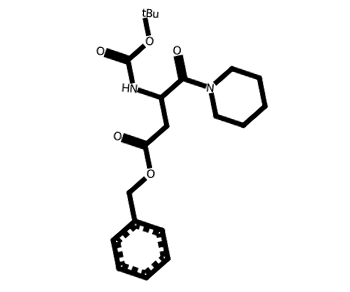 CC(C)(C)OC(=O)NC(CC(=O)OCc1ccccc1)C(=O)N1CCCCC1